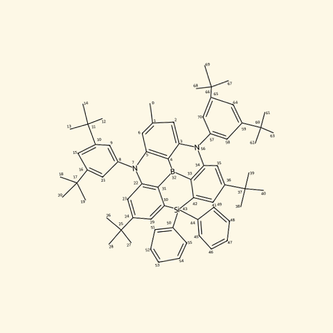 Cc1cc2c3c(c1)N(c1cc(C(C)(C)C)cc(C(C)(C)C)c1)c1cc(C(C)(C)C)cc4c1B3c1c(cc(C(C)(C)C)cc1[Si]4(c1ccccc1)c1ccccc1)N2c1cc(C(C)(C)C)cc(C(C)(C)C)c1